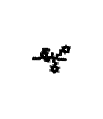 CO[C@H](COCc1ccccc1)[C@@H](OCc1ccccc1)[C@@H](F)c1cnc2c(SC)nc(SC)nn12